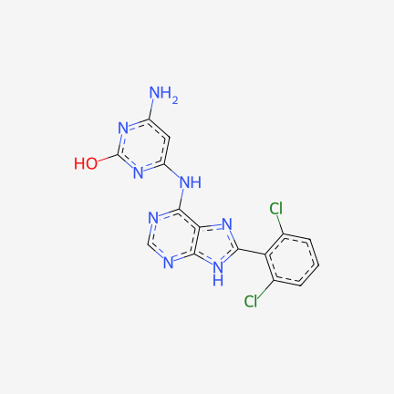 Nc1cc(Nc2ncnc3[nH]c(-c4c(Cl)cccc4Cl)nc23)nc(O)n1